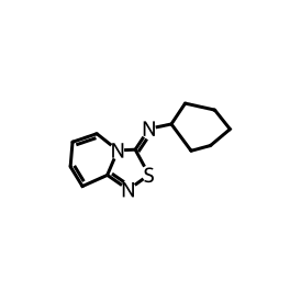 c1ccn2/c(=N/C3CCCCC3)snc2c1